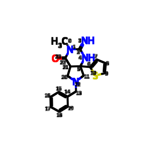 CN1C(=N)NC2(c3cccs3)CN(Cc3ccccc3)CC2C1=O